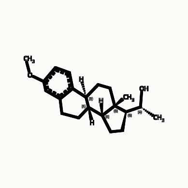 COc1ccc2c(c1)CC[C@@H]1[C@@H]2CC[C@@]2(C)[C@@H]1CC[C@@H]2[C@@H](C)O